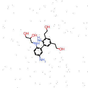 Nc1ccc(NCC(O)CO)c(-c2cc(CCO)cc(CCO)c2N)c1